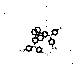 Cc1ccc(N(c2ccc(C)cc2)c2ccc(C3(C4(C5(c6ccc(N(c7ccc(C)cc7)c7ccc(C)cc7)cc6)CCCCC5)CCCCC4)CCCCC3)cc2)cc1